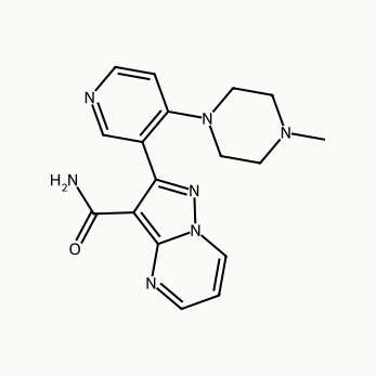 CN1CCN(c2ccncc2-c2nn3cccnc3c2C(N)=O)CC1